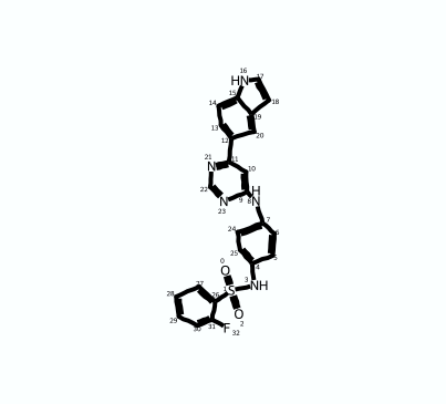 O=S(=O)(Nc1ccc(Nc2cc(-c3ccc4[nH]ccc4c3)ncn2)cc1)c1ccccc1F